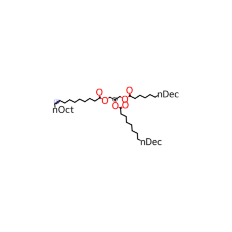 CCCCCCCC/C=C\CCCCCCCC(=O)OC[C@@H](COC(=O)CCCCCCCCCCCCCCC)OC(=O)CCCCCCCCCCCCCCCCC